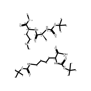 CC(C)(C)OC(=O)NCCCCC(NC(=O)OC(C)(C)C)C(=O)O.COC(=O)[C@H](CC[Se]C)NC(=O)[C@H](C)NC(=O)OC(C)(C)C